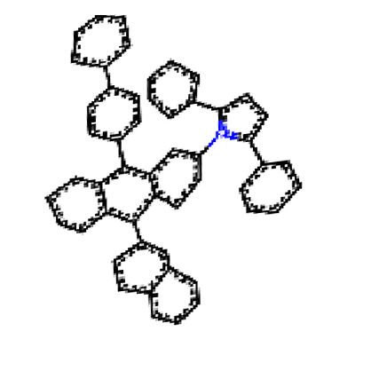 c1ccc(-c2ccc(-c3c4ccccc4c(-c4ccc5ccccc5c4)c4ccc(-n5c(-c6ccccc6)ccc5-c5ccccc5)cc34)cc2)cc1